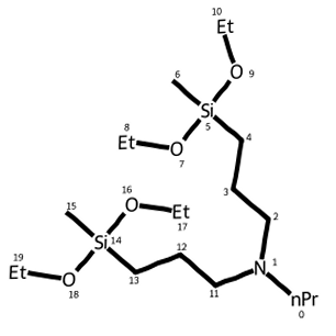 CCCN(CCC[Si](C)(OCC)OCC)CCC[Si](C)(OCC)OCC